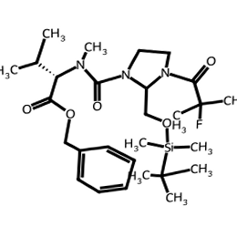 CC(C)[C@@H](C(=O)OCc1ccccc1)N(C)C(=O)N1CCN(C(=O)C(C)(C)F)C1CO[Si](C)(C)C(C)(C)C